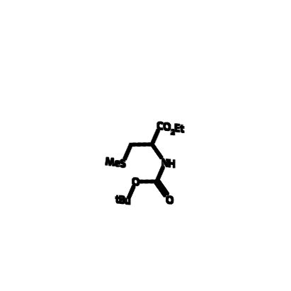 CCOC(=O)C(CSC)NC(=O)OC(C)(C)C